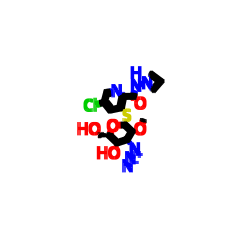 CO[C@@H]1[C@@H](N=[N+]=[N-])[C@@H](O)[C@@H](CO)O[C@@H]1Sc1cc(Cl)cnc1C(=O)NN1CCC1